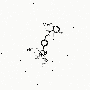 CCn1c([C@@H]2C[C@@H]2F)nc(-c2ccc(CNC(=O)c3cc(F)ccc3OC)cc2)c1C(=O)O